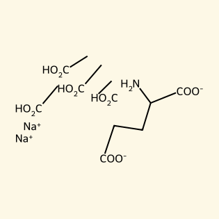 CC(=O)O.CC(=O)O.CC(=O)O.CC(=O)O.NC(CCC(=O)[O-])C(=O)[O-].[Na+].[Na+]